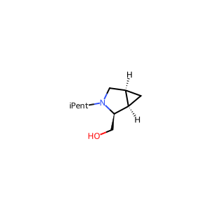 CCCC(C)N1C[C@H]2C[C@H]2[C@H]1CO